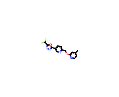 Cc1ccnc(OCc2ccc(-c3nnc(C(F)F)o3)cn2)c1